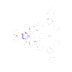 N#Cc1cc(-n2c3cc(-c4nc(-c5ccccc5)nc(-c5ccccc5)n4)ccc3c3ccc(-c4nc(-c5ccccc5)nc(-c5ccccc5)n4)cc32)c(-c2ccc(C#N)cc2C(F)(F)F)c(-n2c3cc(-c4nc(-c5ccccc5)nc(-c5ccccc5)n4)ccc3c3ccc(-c4nc(-c5ccccc5)nc(-c5ccccc5)n4)cc32)c1